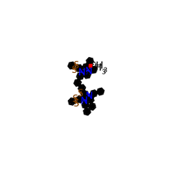 CC1(C)c2ccccc2-c2cc3c4c(c21)N(c1ccccc1)c1ccccc1B4N(c1ccc(-c2cccc(-c4ccc5c(c4)sc4c6c7c(cc45)-n4c5ccc(-c8ccccc8)cc5c5cc(-c8ccccc8)cc(c54)B7N(c4ccc(-c5ccccc5)cc4)c4cc5c(cc4-6)Sc4ccccc4S5)c2)cc1)c1cc2c(cc1-3)Sc1ccccc1S2